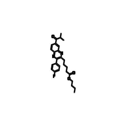 CCCCOC(=O)CCCCc1nc2cc(C(=O)C(C)C)ccc2nc1-c1ccc(F)cc1